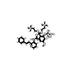 COc1ccc(C(OCC[Si](C)(C)C)(OCC[Si](C)(C)C)OC(=O)Nc2cccnc2C=Cc2ccccc2)c(OP(=O)(O)O)c1